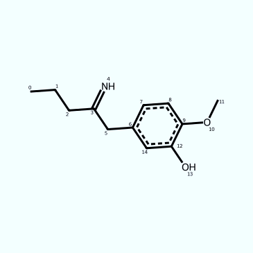 CCCC(=N)Cc1ccc(OC)c(O)c1